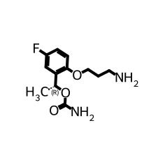 C[C@@H](OC(N)=O)c1cc(F)ccc1OCCCN